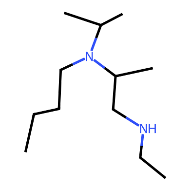 CCCCN(C(C)C)C(C)CNCC